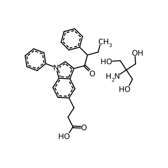 CCC(C(=O)c1cn(-c2ccccc2)c2ccc(CCC(=O)O)cc12)c1ccccc1.NC(CO)(CO)CO